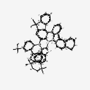 CC(C)(C)c1ccc(N2c3cc4c(c5c3B(c3oc6cc7c(cc6c32)C(C)(C)CCC7(C)C)n2c3ccc6ccccc6c3c3cccc-5c32)-c2ccccc2C4(C)C)c(-c2ccccc2)c1